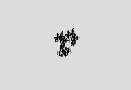 CCCOc1ccc(NC(=O)CN2CCN(C)CC2)cc1-c1nc(CC)c(CC)c(=O)[nH]1.CCCOc1ccc(NC(=O)CN2CCN(C)CC2)cc1-c1nc(CC)c(CC)c(=O)[nH]1.O=C(O)C(O)C(O)C(=O)O